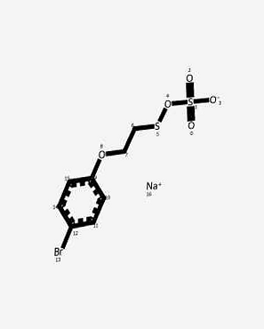 O=S(=O)([O-])OSCCOc1ccc(Br)cc1.[Na+]